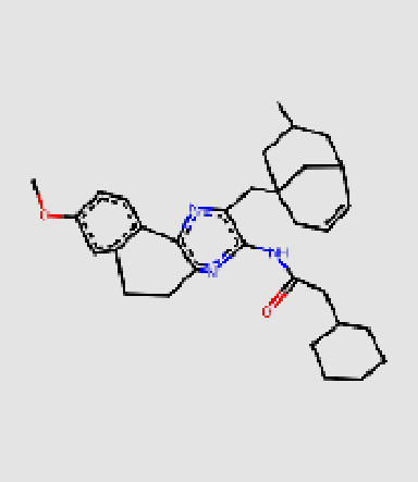 COc1ccc2c(c1)CCc1nc(NC(=O)CC3CCCCC3)c(CC34CC=CC(CC(C)C3)C4)nc1-2